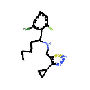 CCCCC(NCc1snnc1C1CC1)c1c(F)cccc1Cl